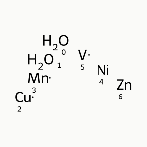 O.O.[Cu].[Mn].[Ni].[V].[Zn]